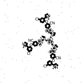 Cn1nccc1-c1cc(Cl)ccc1Oc1ccc(S(=O)(=O)/N=c2\sccn2COP(=O)(OCn2ccs/c2=N\S(=O)(=O)c2ccc(Oc3ccc(Cl)cc3-c3ccnn3C)c(C#N)c2)OCn2ccs/c2=N\S(=O)(=O)c2ccc(Oc3ccc(Cl)cc3-c3ccnn3C)c(C#N)c2)cc1C#N